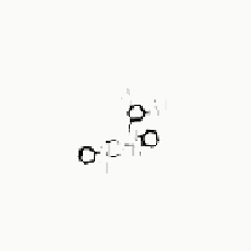 COc1cc(Cn2c(N3CCN(c4ccccc4C)CC3)nc3ccccc32)cc(OC)c1